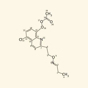 CCC=NOCCc1ccc2c(Cl)ccc(OOC(C)=O)c2n1